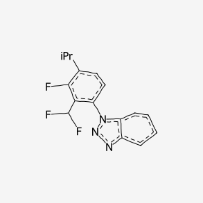 CC(C)c1ccc(-n2nnc3ccccc32)c(C(F)F)c1F